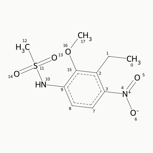 CCc1c([N+](=O)[O-])ccc(NS(C)(=O)=O)c1OC